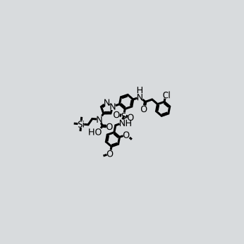 COc1ccc(CNS(=O)(=O)c2cc(NC(=O)Cc3ccccc3Cl)ccc2-n2cc(N(CC[Si](C)(C)C)C(=O)O)cn2)c(OC)c1